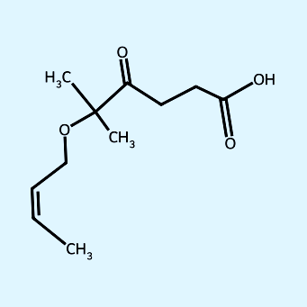 C/C=C\COC(C)(C)C(=O)CCC(=O)O